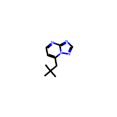 CC(C)(C)Cc1ccnc2ncnn12